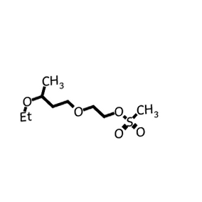 CCOC(C)CCOCCOS(C)(=O)=O